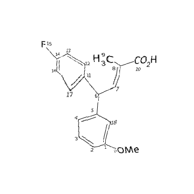 COc1cccc(C(C=C(C)C(=O)O)c2ccc(F)cc2)c1